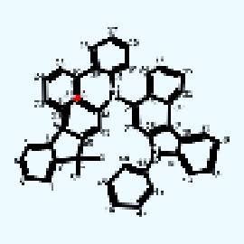 CC1(C)c2ccccc2-c2ccc(N(c3ccccc3-c3ccccc3)c3cc4c(c5ccccc35)c3ccccc3n4-c3ccccc3)cc21